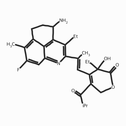 CCc1c(/C(C)=C/C2=C(C(=O)C(C)C)COC(=O)C2(O)CC)nc2cc(F)c(C)c3c2c1C(N)CC3